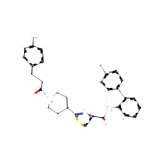 O=C(Nc1ccccc1-c1ccc(Cl)cc1)c1csc(C2CCN(C(=O)CCc3ccc(Cl)cc3)CC2)n1